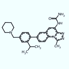 Cc1nnc2c(NC(N)=O)cc3cc(-c4ccc(CN5CCCCC5)cc4C(C)C)ccc3n12